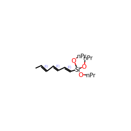 C/C=C/C=C/C=C/[Si](OCCC)(OCCC)OCCC